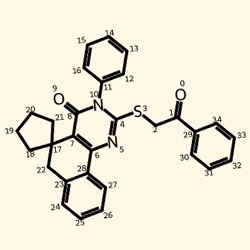 O=C(CSc1nc2c(c(=O)n1-c1ccccc1)C1(CCCC1)Cc1ccccc1-2)c1ccccc1